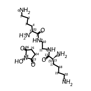 NCCCC[C@H](N)C(=O)NCCNC(=O)[C@@H](N)CCCCN.O=C1CCC(=O)N1O